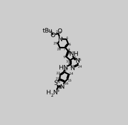 CC(C)(C)OC(=O)N1CC=C(c2cc3c(Nc4ccc5nc(N)sc5c4)ncnc3[nH]2)CC1